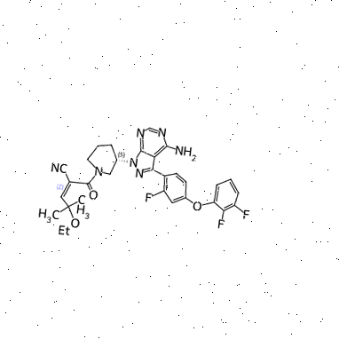 CCOC(C)(C)/C=C(/C#N)C(=O)N1CCC[C@H](n2nc(-c3ccc(Oc4cccc(F)c4F)cc3F)c3c(N)ncnc32)C1